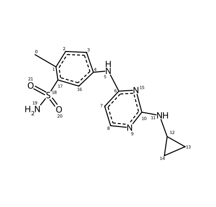 Cc1ccc(Nc2ccnc(NC3CC3)n2)cc1S(N)(=O)=O